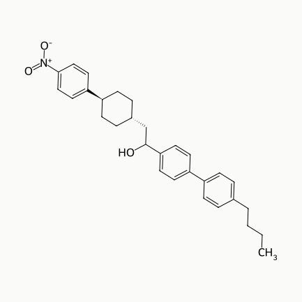 CCCCc1ccc(-c2ccc(C(O)C[C@H]3CC[C@H](c4ccc([N+](=O)[O-])cc4)CC3)cc2)cc1